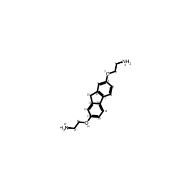 NCCOc1ccc2c(c1)Cc1cc(OCCN)ccc1-2